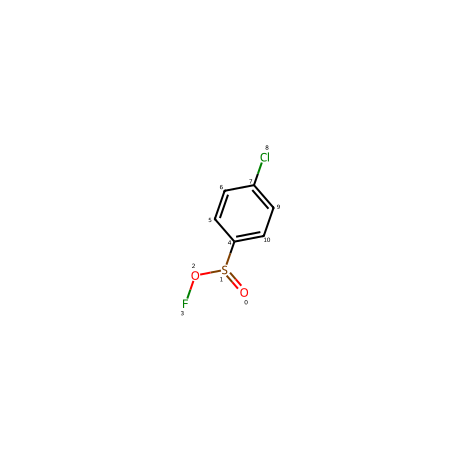 O=S(OF)c1ccc(Cl)cc1